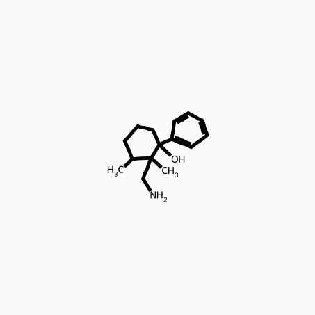 CC1CCCC(O)(c2ccccc2)C1(C)CN